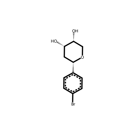 O[C@@H]1CO[C@H](c2ccc(Br)cc2)C[C@@H]1O